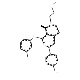 COCCn1ccc2cc(-c3cnc(N)nc3)nc(Nc3cccc(Cl)c3)c2c1=O